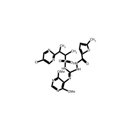 COc1ncnc(OC)c1/N=C(/NNC(=O)c1ccc(C)o1)NS(=O)(=O)C(C)C(C)c1ncc(Cl)cn1